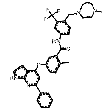 Cc1ccc(Oc2cc(-c3ccccc3)nc3[nH]ccc23)cc1C(=O)Nc1ccc(CN2CCN(C)CC2)c(C(F)(F)F)c1